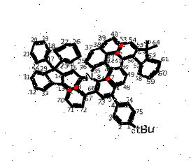 CC(C)(C)c1ccc(-c2ccc(N(c3ccc4c(c3)C(c3ccccc3)(c3ccccc3)c3ccccc3-4)c3ccc4ccccc4c3-c3ccccc3-c3cccc4c3-c3ccccc3C4(C)C)c(-c3ccccc3)c2)cc1